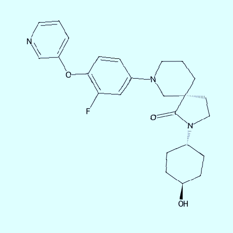 O=C1N([C@H]2CC[C@H](O)CC2)CC[C@]12CCCN(c1ccc(Oc3cccnc3)c(F)c1)C2